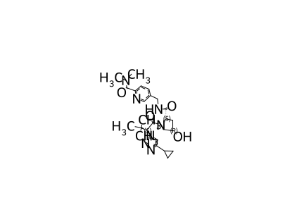 CN(C)C(=O)c1ccc(CNC(=O)[C@@H]2C[C@@H](O)CN2C(=O)[C@@H](n2cc(C3CC3)nn2)C(C)(C)C)cn1